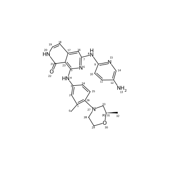 Cc1cc(Nc2nc(Nc3ccc(N)cn3)cc3cc[nH]c(=O)c23)ccc1N1CCO[C@H](C)C1